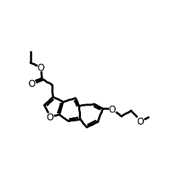 CCOC(=O)Cc1coc2cc3ccc(OCCOC)cc3cc12